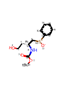 CC(C)(C)OC(=O)N[C@H](CCO)C[S+]([O-])c1ccccc1